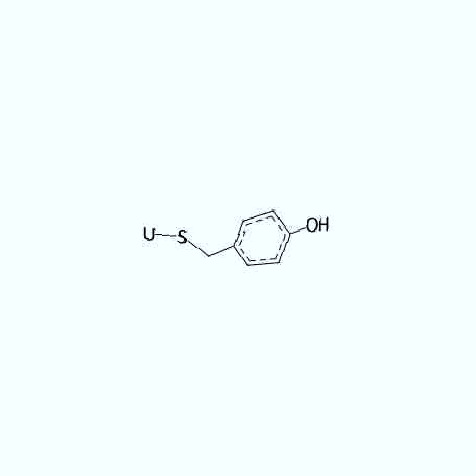 Oc1ccc(C[S][U])cc1